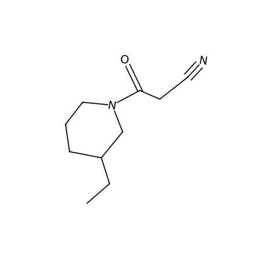 CCC1CCCN(C(=O)CC#N)C1